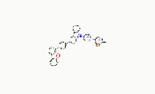 C=C(Br)/C=C\C(=C)C(=C)/C=C\C(=C)n1c2ccccc2c2cc(-c3ccc(-c4cccc5c4oc4ccccc45)cc3)ccc21